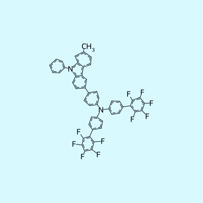 Cc1ccc2c3cc(-c4ccc(N(c5ccc(-c6c(F)c(F)c(F)c(F)c6F)cc5)c5ccc(-c6c(F)c(F)c(F)c(F)c6F)cc5)cc4)ccc3n(-c3ccccc3)c2c1